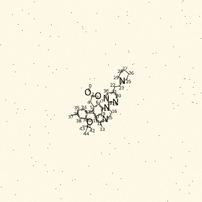 COC(=O)Cc1c(C)c2c3c(cc(C)n3CCN2c2ncc(CCN3CCCCC3)cn2)c1-c1ccc(C)cc1OC(C)(C)C